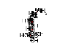 CC(=O)[C@H](CCC(N)=O)NC(=O)CC[C@@H](C)[C@H]1CC[C@@H]2[C@@H]3[C@H](O)C[C@@H]4C[C@@H](NC(=O)CNC(=O)CN5CCN(CC(=O)O)CCN(CC(=O)O)CCN(CC(=O)O)CC5)CC[C@]4(C)[C@H]3C[C@H](O)[C@@]21C